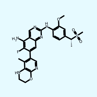 COc1cc([C@@H](C)S(C)(=O)=O)ccc1Nc1ncc2c(N)c(F)c(-c3cnc4c(c3C)NCCO4)cc2n1